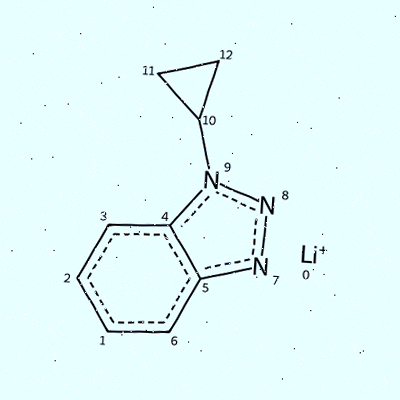 [Li+].c1ccc2c(c1)nnn2C1CC1